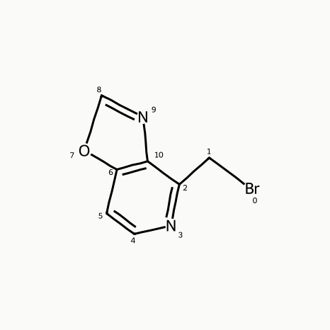 BrCc1nccc2ocnc12